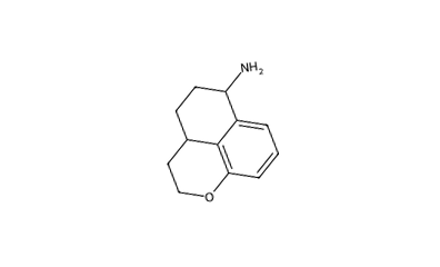 NC1CCC2CCOc3cccc1c32